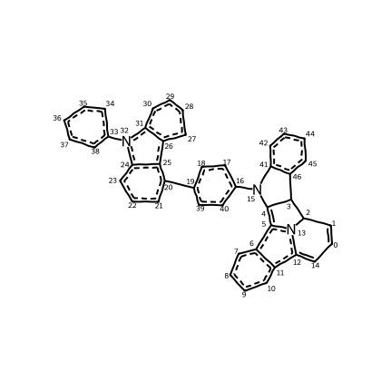 C1=CC2C3C(=c4c5ccccc5c(n42)=C1)N(c1ccc(-c2cccc4c2c2ccccc2n4-c2ccccc2)cc1)c1ccccc13